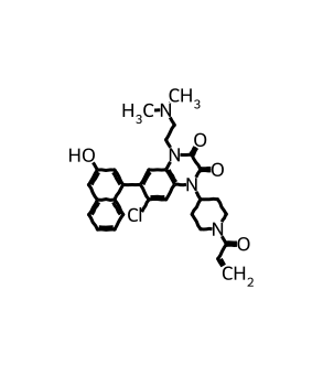 C=CC(=O)N1CCC(n2c(=O)c(=O)n(CCN(C)C)c3cc(-c4cc(O)cc5ccccc45)c(Cl)cc32)CC1